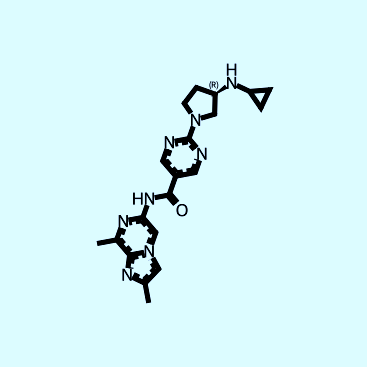 Cc1cn2cc(NC(=O)c3cnc(N4CC[C@@H](NC5CC5)C4)nc3)nc(C)c2n1